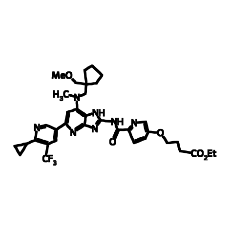 CCOC(=O)CCCOc1ccc(C(=O)Nc2nc3nc(-c4cnc(C5CC5)c(C(F)(F)F)c4)cc(N(C)CC4(COC)CCCC4)c3[nH]2)nc1